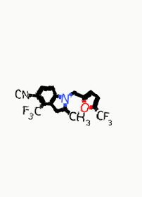 [C-]#[N+]c1ccc2c(c1C(F)(F)F)CC(C)N2Cc1ccc(C(F)(F)F)o1